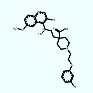 COc1ccc2ncc(Cl)c([C@H](O)CCC3(C(=O)O)CCN(CCSc4cccc(Cl)c4)CC3)c2c1